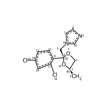 [CH2][C@@H]1CO[C@@](Cn2ccnc2)(c2ccc(Cl)cc2Cl)O1